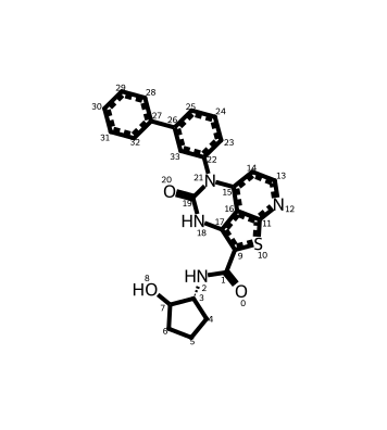 O=C(N[C@@H]1CCCC1O)c1sc2nccc3c2c1NC(=O)N3c1cccc(-c2ccccc2)c1